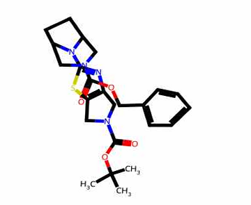 CC(C)(C)OC(=O)N1Cc2nc(N3C4CCC3CN(C(=O)OCc3ccccc3)C4)sc2C1